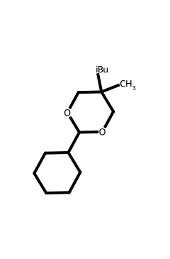 CCC(C)C1(C)COC(C2CCCCC2)OC1